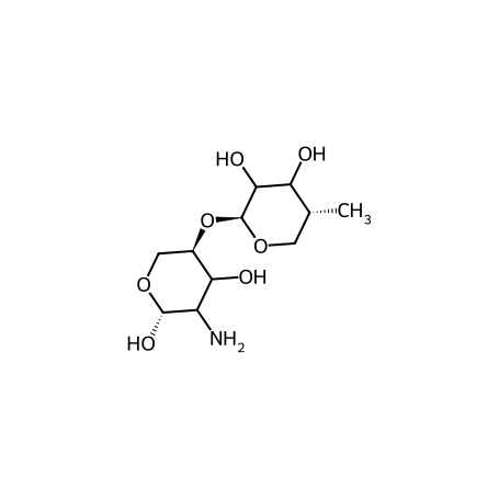 C[C@@H]1CO[C@@H](O[C@@H]2CO[C@@H](O)C(N)C2O)C(O)C1O